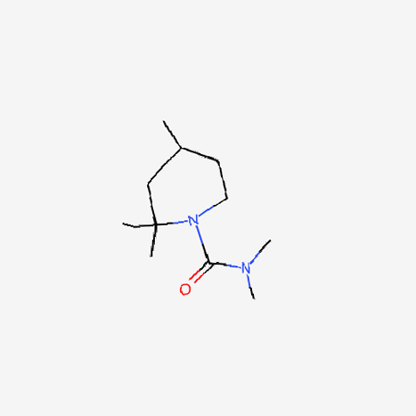 CC1CCN(C(=O)N(C)C)C(C)(C)C1